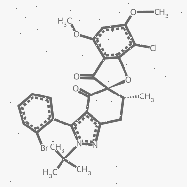 COc1cc(OC)c2c(c1Cl)O[C@]1(C2=O)C(=O)c2c(nn(C(C)(C)C)c2-c2ccccc2Br)C[C@H]1C